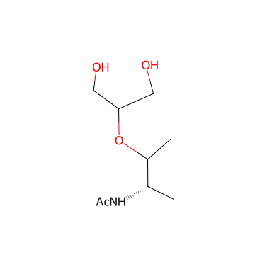 CC(=O)N[C@@H](C)C(C)OC(CO)CO